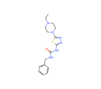 CCN1CCN(c2nnc(NC(=O)NCc3ccccc3)s2)CC1